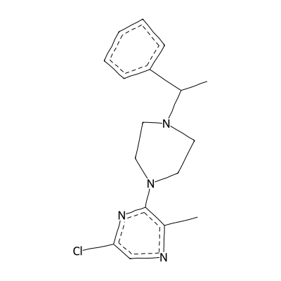 Cc1ncc(Cl)nc1N1CCN(C(C)c2ccccc2)CC1